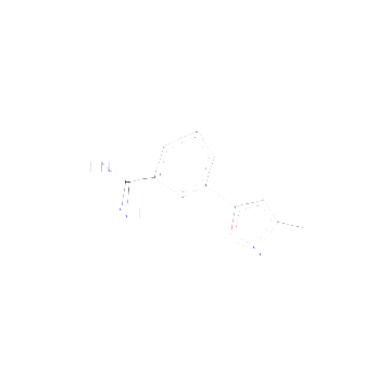 Cc1cc(-c2cccc(C(=N)N)c2)on1